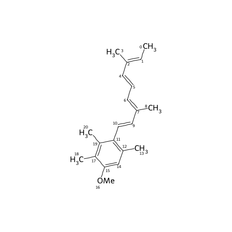 CC=C(C)C=CC=C(C)C=Cc1c(C)cc(OC)c(C)c1C